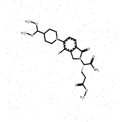 COC(=O)CC[C@@H](C(N)=O)N1Cc2c(ccc(N3CCC(C(OC)OC)CC3)c2F)C1=O